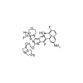 C#Cc1c(F)ccc2cc(N)cc(-c3ncc4c(N5CCOC[C@H]6[C@H](F)[C@H]65)nc(OC[C@]56C[C@@H](F)CN5CCC6=C)nc4c3F)c12